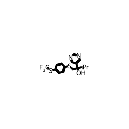 CC(C)C(O)(CSc1ccc(SC(F)(F)F)cc1)c1cncnc1